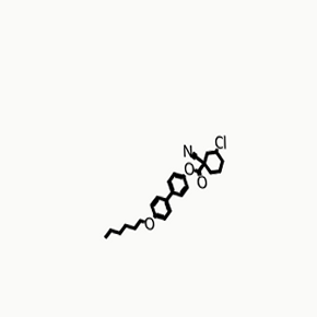 CCCCCCOc1ccc(-c2ccc(OC(=O)C3(C#N)CCCC(Cl)C3)cc2)cc1